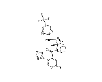 C[C@@H]1C2CC(C2)N(C(=O)c2cc(F)ccc2-n2nccn2)[C@@H]1CNc1ncc(C(F)(F)F)cn1